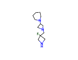 FC1(CN2CC(N3CCCCC3)C2)CNC1